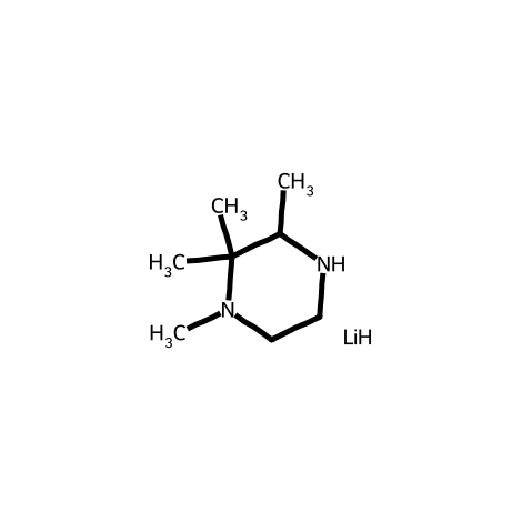 CC1NCCN(C)C1(C)C.[LiH]